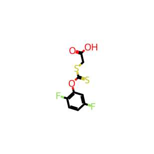 O=C(O)CSC(=S)Oc1cc(F)ccc1F